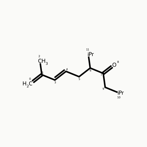 C=C(C)C=CCC(C(=O)CC(C)C)C(C)C